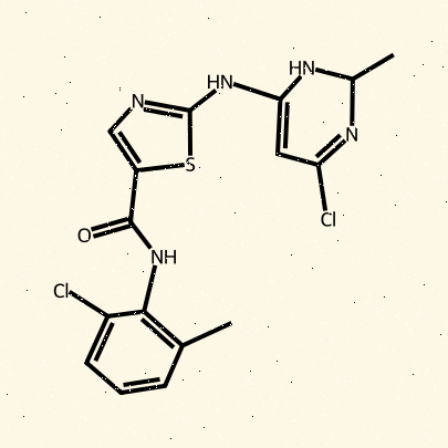 Cc1cccc(Cl)c1NC(=O)c1cnc(NC2=CC(Cl)=NC(C)N2)s1